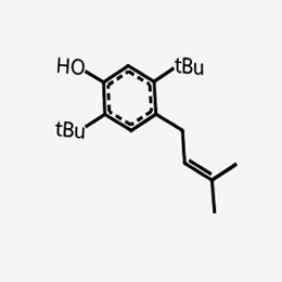 CC(C)=CCc1cc(C(C)(C)C)c(O)cc1C(C)(C)C